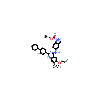 COc1cc2nc(-c3ccc(-c4ccccc4)c(F)c3)nc(Nc3ccc4c(cnn4C(=O)OC(C)(C)C)c3)c2cc1OCCCl